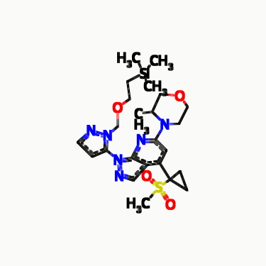 CC1COCCN1c1cc(C2(S(C)(=O)=O)CC2)c2cnn(-c3ccnn3COCC[Si](C)(C)C)c2n1